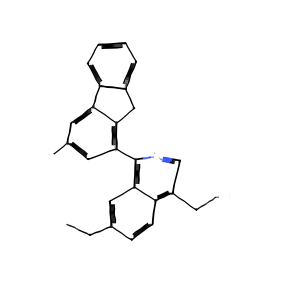 Cc1cc2c(c(-c3ncc(CC(C)C)c4ccc(CC(C)C)cc34)c1)Cc1ccccc1-2